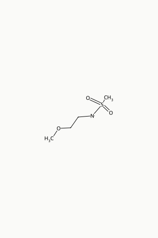 COCC[N]S(C)(=O)=O